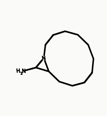 NC1C2CCCCCCCCCCN12